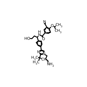 CC(C)Oc1ccc(C(=O)NC(CCO)c2ccc(-c3cn(CCCN)c(C(C)(C)C)n3)cc2)cc1C#N